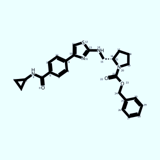 O=C(NC1CC1)c1ccc(-c2csc(NC[C@@H]3CCCN3C(=O)OCc3ccccc3)n2)cc1